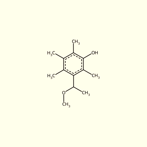 COC(C)c1c(C)c(C)c(C)c(O)c1C